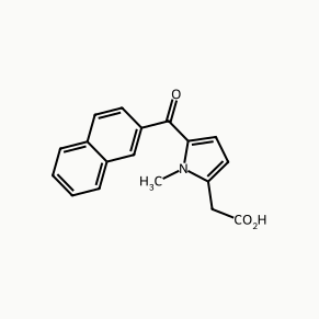 Cn1c(CC(=O)O)ccc1C(=O)c1ccc2ccccc2c1